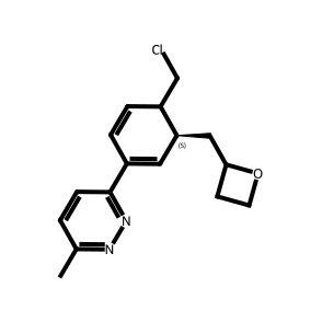 Cc1ccc(C2=C[C@H](CC3CCO3)C(CCl)C=C2)nn1